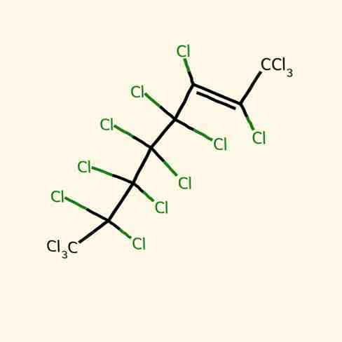 ClC(=C(Cl)C(Cl)(Cl)C(Cl)(Cl)C(Cl)(Cl)C(Cl)(Cl)C(Cl)(Cl)Cl)C(Cl)(Cl)Cl